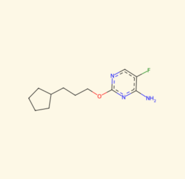 Nc1nc(OCCCC2CCCC2)ncc1F